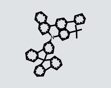 CC(C)(C)c1ccc(N(c2ccc3c(c2)-c2ccccc2C32c3ccccc3-c3ccccc32)c2ccc3ccccc3c2-c2ccc(-c3ccccc3)cc2)cc1